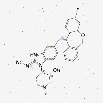 CN1CC[C@@H](n2/c(=N/C#N)[nH]c3cc(/C=C4\c5ccccc5COC5C=C(F)C=CC45)ccc32)[C@H](O)C1